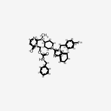 CN(c1nccc(=O)n1COC(=O)NCc1ccccc1)C1CCN(c2nc3c(n2Cc2ccc(F)cc2)=CCCC=3)CC1